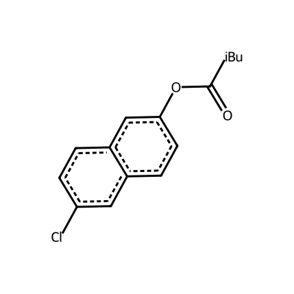 CCC(C)C(=O)Oc1ccc2cc(Cl)ccc2c1